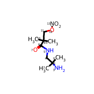 CC(C)(N)CNC(=O)C(C)(C)CO[N+](=O)[O-]